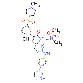 Cc1ccc(S(=O)(=O)C2CCN(C)CC2)cc1-c1cc2cnc(Nc3ccc(C4CCCNC4)cc3)nc2n(CCN(C)S(C)(=O)=O)c1=O